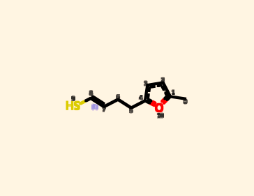 Cc1ccc(CC/C=C/S)o1